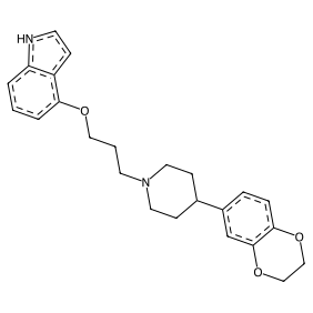 c1cc(OCCCN2CCC(c3ccc4c(c3)OCCO4)CC2)c2cc[nH]c2c1